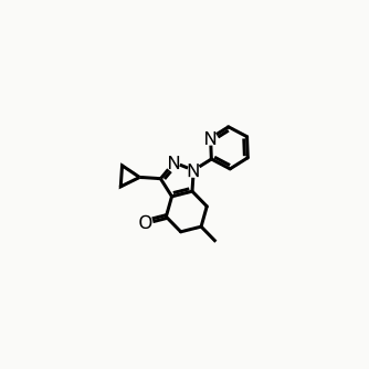 CC1CC(=O)c2c(C3CC3)nn(-c3ccccn3)c2C1